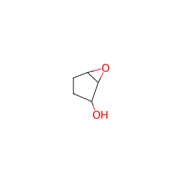 OC1CCC2OC12